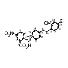 O=C(O)c1cc([N+](=O)[O-])ccc1Nc1ccc(CCc2ccc(Cl)cc2Cl)cc1